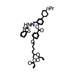 C=CC(=O)OCC(CCCCOc1ccc(C(=O)Oc2ccc(C3CCC(CCC)CC3)cc2/C=N/Nc2nc3ccccc3s2)cc1)OC(=O)C=C